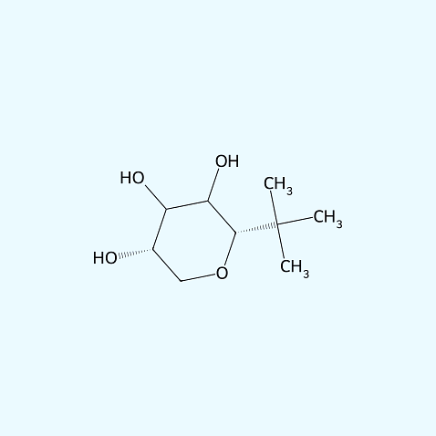 CC(C)(C)[C@@H]1OC[C@H](O)C(O)C1O